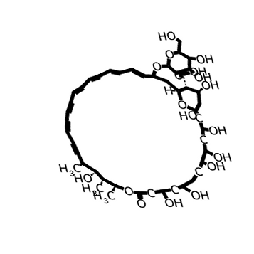 C[C@@H]1[C@H](O)[C@@H](C)/C=C/C=C/C=C/C=C/C=C/C=C/C=C/C(OC2CC(O)C(O)C(CO)O2)C[C@@H]2OC(O)(CC(O)CC(O)C(O)CCC(O)CC(O)CC(=O)O[C@H]1C)C[C@H](O)[C@H]2C(=O)O